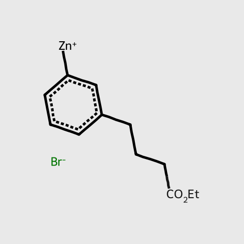 CCOC(=O)CCCc1ccc[c]([Zn+])c1.[Br-]